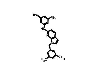 Cc1cc(C)cc(Cn2ccc3ccc(Nc4cc(C(C)(C)C)cc(C(C)(C)C)c4)nc32)c1